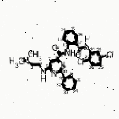 CN(C)CCNc1cc(C(=O)Nc2ccccc2C(=O)Nc2cc(Cl)ccc2Cl)nc(-c2ccccc2)n1